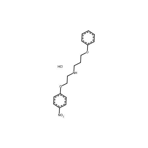 Cl.O=[N+]([O-])c1ccc(OCCNCCCOc2ccccc2)cc1